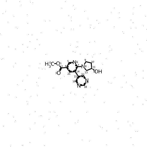 COC(=O)c1cnc(N2CC[C@@H](O)C2)c(-c2cncnc2)c1